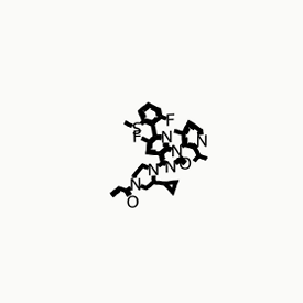 C=CC(=O)N1CCN(c2nc(=O)n(-c3c(C)ccnc3C(C)C)c3nc(-c4c(F)cccc4SC)c(F)cc23)C(C2CC2)C1